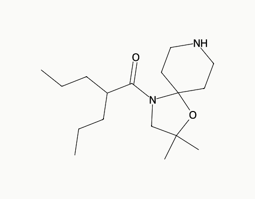 CCCC(CCC)C(=O)N1CC(C)(C)OC12CCNCC2